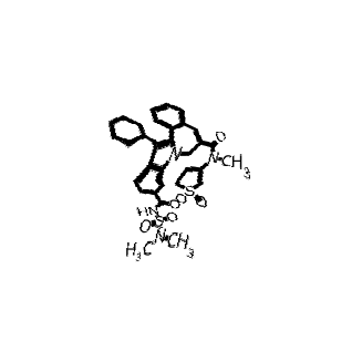 CN(C(=O)C1=Cc2ccccc2-c2c(C3CCCCC3)c3ccc(C(=O)NS(=O)(=O)N(C)C)cc3n2C1)C1CCS(=O)(=O)C1